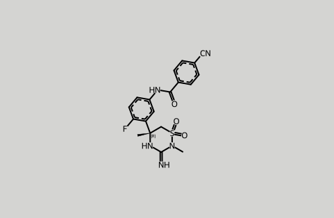 CN1C(=N)N[C@](C)(c2cc(NC(=O)c3ccc(C#N)cc3)ccc2F)CS1(=O)=O